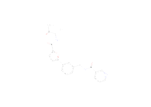 CNC(=O)[C@@H](NC(=O)c1ccc(-c2cccc(CNC(=O)c3cccnc3)c2)o1)C(C)C